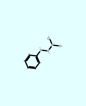 ClP(Cl)OOc1ccccc1